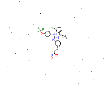 C[C@H](c1cccc(Cl)c1)n1c(Nc2ccc(OC(F)(F)F)cc2)nc2cc(CCC(=O)N=O)ccc21